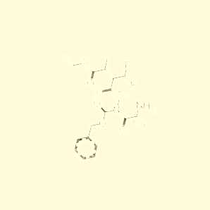 CCOC(=O)C(C)C(C(=O)[C@H](C)N(C(=O)OCc1ccccc1)C(=O)[C@H](C)N)C(F)F